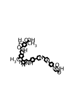 Cc1cc(CNC(=O)c2ccc(C(C)(C)O)cc2F)c(F)cc1-c1ncnc2[nH]c(-c3ccc(C4CCN(CC5CCN(c6ccc(N7CCC(=O)NC7=O)cc6)CC5)CC4)cc3)cc12